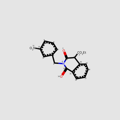 CCOC(=O)C1C(=O)N(Cc2cccc([N+](=O)[O-])c2)C(=O)c2ccccc21